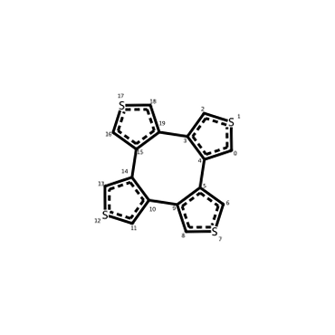 c1scc2c1-c1cscc1-c1cscc1-c1cscc1-2